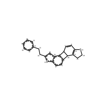 C1=CC2c3c(ccc4sc(CCc5ccccc5)cc34)C2C2=C1SCC2